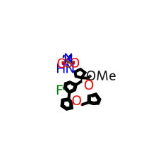 COC(=O)[C@@]1(Cc2ccc(F)c(-c3ccccc3OCc3ccccc3)c2)CC[C@H](NS(=O)(=O)N(C)C)C1